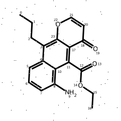 CCCc1c2cccc(N)c2c(C(=O)OCC)c2c(=O)ccoc12